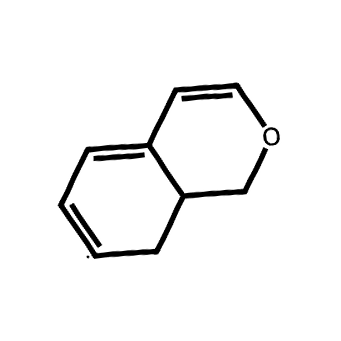 [C]1=CC=C2C=COCC2C1